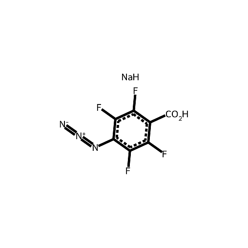 [N-]=[N+]=Nc1c(F)c(F)c(C(=O)O)c(F)c1F.[NaH]